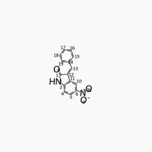 O=C1Nc2ccc([N+](=O)[O-])cc2/C1=C/c1ccccc1